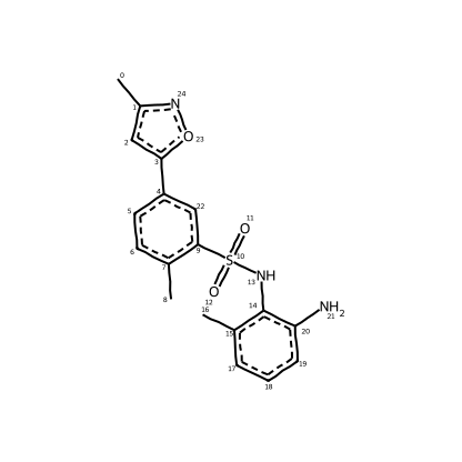 Cc1cc(-c2ccc(C)c(S(=O)(=O)Nc3c(C)cccc3N)c2)on1